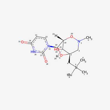 CN1C[C@]2(C[Si](C)(C)C(C)(C)C)O[C@@H](n3ccc(=O)[nH]c3=O)[C@H](O1)[C@@H]2O